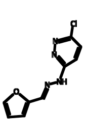 Clc1ccc(NN=Cc2ccco2)nn1